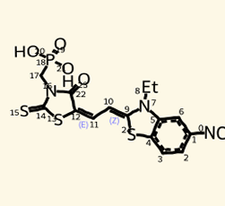 [C-]#[N+]c1ccc2c(c1)N(CC)/C(=C/C=C1/SC(=S)N(CP(=O)(O)O)C1=O)S2